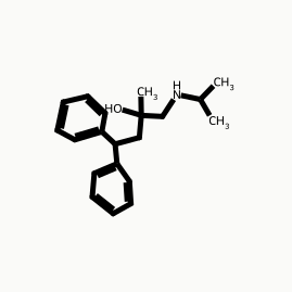 CC(C)NCC(C)(O)CC(c1ccccc1)c1ccccc1